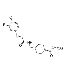 CC(C)(C)OC(=O)N1CCC(CNC(=O)COc2ccc(Cl)c(F)c2)CC1